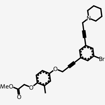 COC(=O)COc1ccc(OCC#Cc2cc(Br)cc(C#CCN3CCCCC3)c2)cc1C